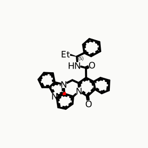 CC[C@H](NC(=O)c1c(Cn2cnc3ccccc32)n(-c2ccccc2)c(=O)c2ccccc12)c1ccccc1